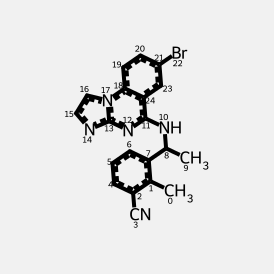 Cc1c(C#N)cccc1C(C)Nc1nc2nccn2c2ccc(Br)cc12